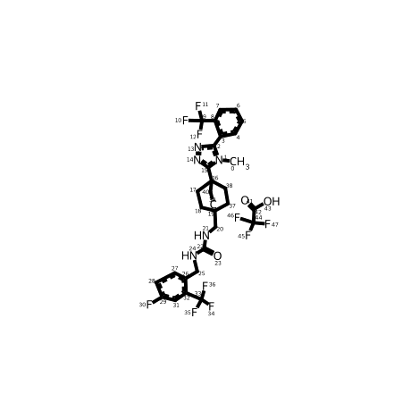 Cn1c(-c2ccccc2C(F)(F)F)nnc1C12CCC(CNC(=O)NCc3ccc(F)cc3C(F)(F)F)(CC1)CC2.O=C(O)C(F)(F)F